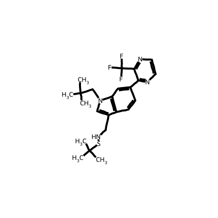 CC(C)(C)Cn1cc(CNSC(C)(C)C)c2ccc(-c3nccnc3C(F)(F)F)cc21